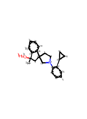 [2H]C1(O)CC2(CCN(c3ccccc3C3CC3)C2)c2ccccc21